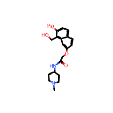 CN1CCC(NC(=O)COc2ccc3ccc(O)c(CO)c3c2)CC1